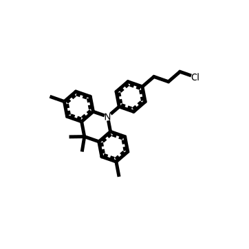 Cc1ccc2c(c1)C(C)(C)c1cc(C)ccc1N2c1ccc(CCCCl)cc1